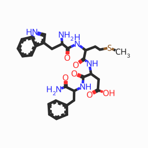 CSCCC(NC(=O)C(N)Cc1c[nH]c2ccccc12)C(=O)NC(CC(=O)O)C(=O)NC(Cc1ccccc1)C(N)=O